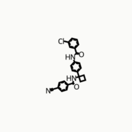 N#Cc1ccc(C(=O)NC2(c3ccc(NC(=O)c4cccc(Cl)c4)cc3)CCC2)cc1